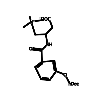 CCCCCCCCCCOc1cccc(C(=O)NC(CC(=O)[O-])C[N+](C)(C)C)c1